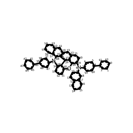 c1ccc(-c2ccc(N(c3ccc4ccccc4c3)c3ccc4cccc5c4c3Oc3cccc(N(c4ccc(-c6ccccc6)cc4)c4cccc6ccccc46)c3-5)cc2)cc1